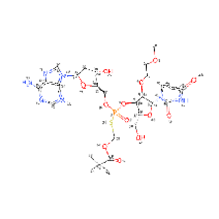 COCCO[C@@H]1[C@H](OP(=O)(OC[C@H]2O[C@@H](n3cnc4c(N)ncnc43)C[C@@H]2O)SCOC(=O)C(C)(C)C)[C@@H](CO)O[C@H]1n1ccc(=O)[nH]c1=O